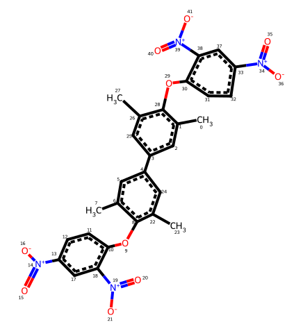 Cc1cc(-c2cc(C)c(Oc3ccc([N+](=O)[O-])cc3[N+](=O)[O-])c(C)c2)cc(C)c1Oc1ccc([N+](=O)[O-])cc1[N+](=O)[O-]